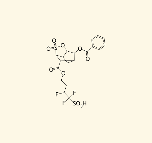 O=C(OC1C2CC3C1OS(=O)(=O)C3C2C(=O)OCCC(F)C(F)(F)S(=O)(=O)O)c1ccccc1